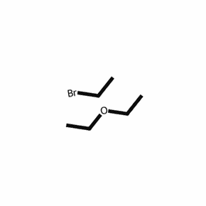 CCBr.CCOCC